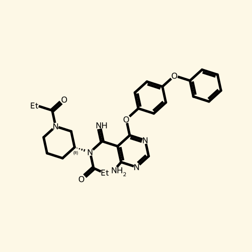 CCC(=O)N1CCC[C@@H](N(C(=N)c2c(N)ncnc2Oc2ccc(Oc3ccccc3)cc2)C(=O)CC)C1